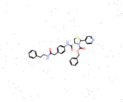 O=C(Cc1ccc(NC(=O)[C@@H]2CSC(c3ccncc3)N2C(=O)OCc2ccccc2)cc1)NCCc1ccccc1